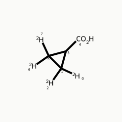 [2H]C1([2H])C(C(=O)O)C1([2H])[2H]